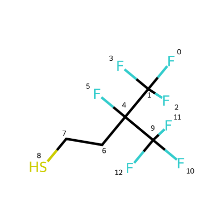 FC(F)(F)C(F)(CCS)C(F)(F)F